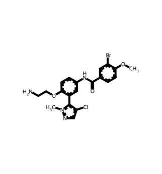 COc1ccc(C(=O)Nc2ccc(OCCN)c(-c3c(Cl)cnn3C)c2)cc1Br